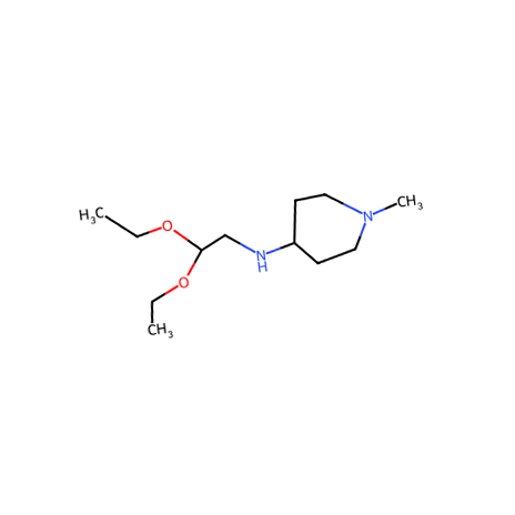 CCOC(CNC1CCN(C)CC1)OCC